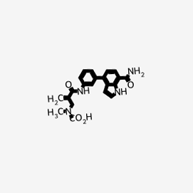 C=C(CN(C)C(=O)O)C(=O)Nc1cccc(-c2ccc(C(N)=O)c3[nH]ccc23)c1